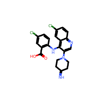 N=C1CCN(c2cnc3ccc(Cl)cc3c2Nc2ccc(Cl)cc2C(=O)O)CC1